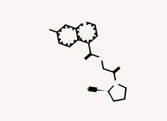 N#C[C@@H]1CCCN1C(=O)CNC(=O)c1ccnc2cc(O)ccc12